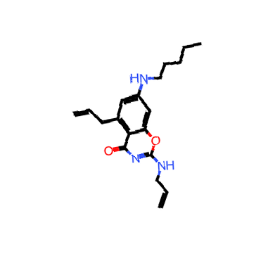 C=CCNc1nc(=O)c2c(CC=C)cc(NCCCCC)cc2o1